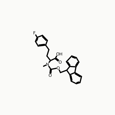 CN(C(=O)OCC1c2ccccc2-c2ccccc21)C(CCc1ccc(F)cc1)C(=O)O